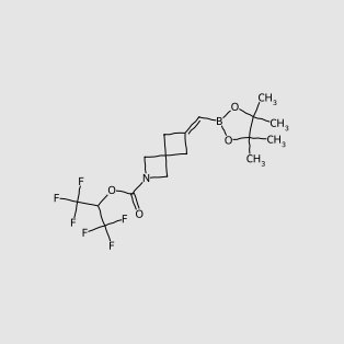 CC1(C)OB(C=C2CC3(C2)CN(C(=O)OC(C(F)(F)F)C(F)(F)F)C3)OC1(C)C